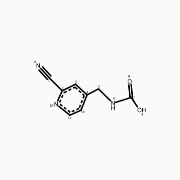 N#Cc1cc(CNC(=O)O)ccn1